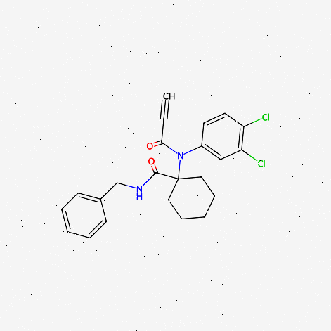 C#CC(=O)N(c1ccc(Cl)c(Cl)c1)C1(C(=O)NCc2ccccc2)CCCCC1